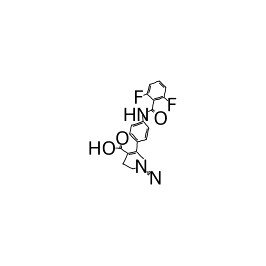 N#CN1CCC(C(=O)O)=C(c2ccc(NC(=O)c3c(F)cccc3F)cc2)C1